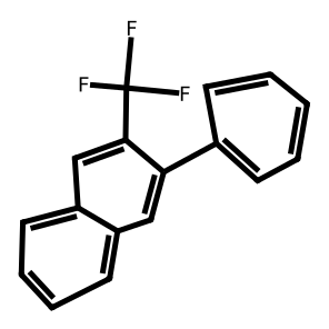 FC(F)(F)c1cc2ccccc2cc1-c1ccccc1